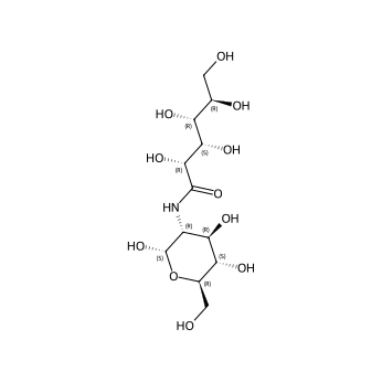 O=C(N[C@@H]1[C@@H](O)[C@H](O)[C@@H](CO)O[C@@H]1O)[C@H](O)[C@@H](O)[C@H](O)[C@H](O)CO